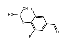 O=Cc1cc(F)c(OB(O)O)c(F)c1